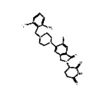 Cc1cccc(C)c1CN1CCN(c2cc3c(cc2F)C(=O)N(C2CCC(=O)NC2=O)C3)CC1